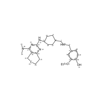 CCOc1cc(CNCC2CCC(Nc3nc4c(c(N(C)C)n3)CCCC4)CC2)ccc1O